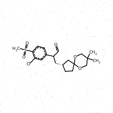 CC1(C)COC2(CC[C@H](CC(C=O)c3ccc(S(C)(=O)=O)c(Cl)c3)C2)OC1